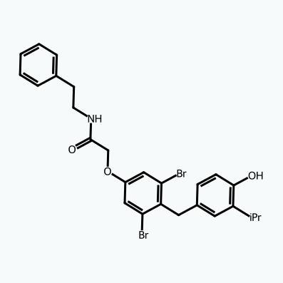 CC(C)c1cc(Cc2c(Br)cc(OCC(=O)NCCc3ccccc3)cc2Br)ccc1O